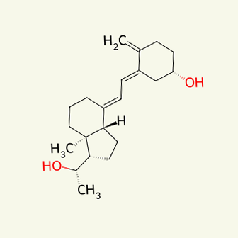 C=C1CC[C@H](O)CC1=C/C=C1\CCC[C@]2(C)[C@@H]([C@H](C)O)CC[C@@H]12